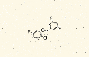 Fc1cc(F)cc(COc2cc(F)cnc2Cl)c1